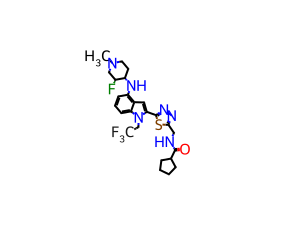 CN1CC[C@@H](Nc2cccc3c2cc(-c2nnc(CNC(=O)C4CCCC4)s2)n3CC(F)(F)F)[C@@H](F)C1